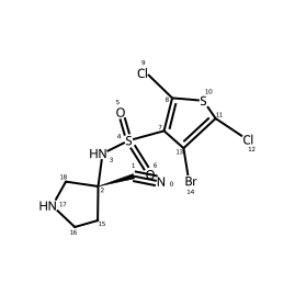 N#C[C@@]1(NS(=O)(=O)c2c(Cl)sc(Cl)c2Br)CCNC1